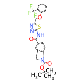 CC(C)(C)OC(=O)N1CCc2cc(C(=O)Nc3nnc(COc4ccccc4C(F)(F)F)s3)ccc2C1